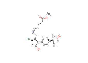 COC(=O)CCC/C=C\CC1C(Cl)CC(O)C1c1ccc(C(C)(C)CO)cc1